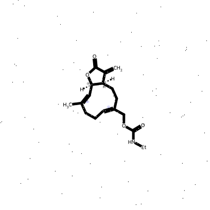 C=C1C(=O)O[C@@H]2/C=C(\C)CC/C=C(\COC(=O)NCC)CC[C@H]12